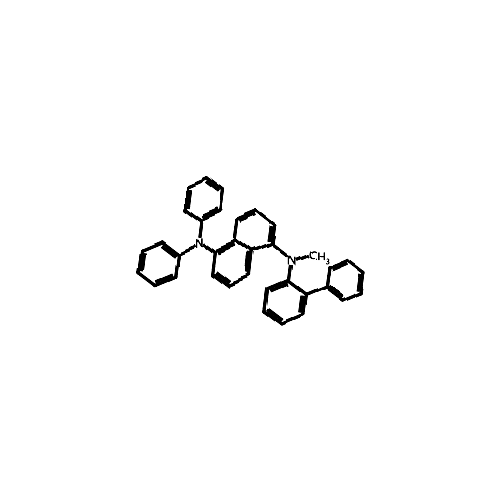 CN(c1ccccc1-c1ccccc1)c1cccc2c(N(c3ccccc3)c3ccccc3)cccc12